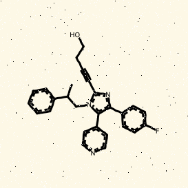 CC(Cn1c(C#CCCO)nc(-c2ccc(F)cc2)c1-c1ccncc1)c1ccccc1